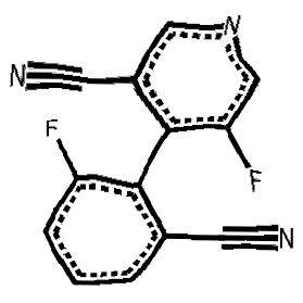 N#Cc1cccc(F)c1-c1c(F)cncc1C#N